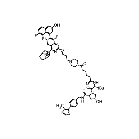 CCc1c(F)ccc2cc(O)cc(-c3ncc4c(N5CC6CCC(C5)N6)nc(OCCCN5CCN(C(=O)CCCCC(=O)N[C@H](C(=O)N6C[C@H](O)C[C@H]6C(=O)NCc6ccc(-c7scnc7C)cc6)C(C)(C)C)CC5)nc4c3F)c12